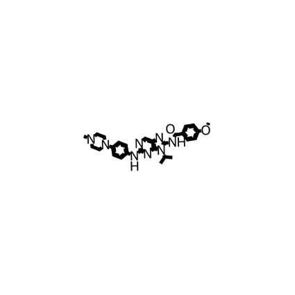 COc1ccc(C(=O)Nc2nc3cnc(Nc4ccc(N5CCN(C)CC5)cc4)nc3n2C(C)C)cc1